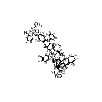 CCCC(C)(C)N(c1ccccc1)c1ccc2c(c1)Sc1cc(N(c3ccccc3)C(CC)(CCC)C34CCc5ccc6c(c5)-c5cc7ccc5C65c6cc(ccc6-c6cc3c4cc65)C(C)(CO)CC7)ccc1N2c1ccccc1